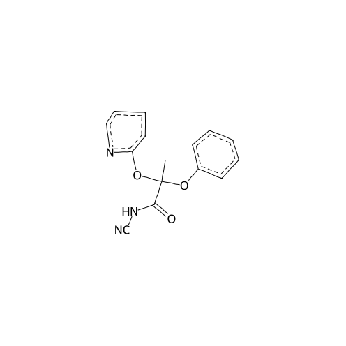 CC(Oc1ccccc1)(Oc1ccccn1)C(=O)NC#N